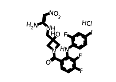 Cl.N/C(=C/[N+](=O)[O-])NCC1(O)CN(C(=O)c2ccc(F)c(F)c2Nc2ccc(I)cc2F)C1